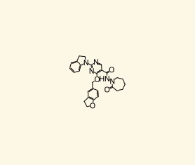 O=C(NN1CCCCCC1=O)c1cnc(N2CCc3ccccc32)nc1OCc1ccc2c(c1)CCO2